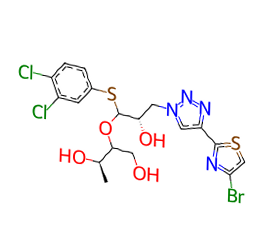 C[C@@H](O)C(CO)OC(Sc1ccc(Cl)c(Cl)c1)[C@@H](O)Cn1cc(-c2nc(Br)cs2)nn1